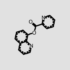 O=C(Oc1cccc2cccnc12)c1ccccn1